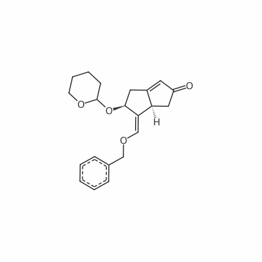 O=C1C=C2C[C@H](OC3CCCCO3)C(=COCc3ccccc3)[C@@H]2C1